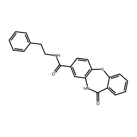 O=C(NCCc1ccccc1)c1ccc2c(c1)NC(=O)c1ccccc1S2